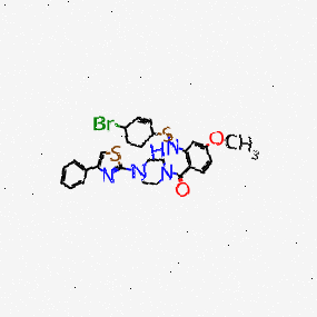 COc1ccc(C(=O)N2CCN(c3nc(-c4ccccc4)cs3)CC2)c(NSC2C=CC(Br)CC2)c1